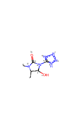 CC1C(O)N(c2nnn[nH]2)C(=O)N1C